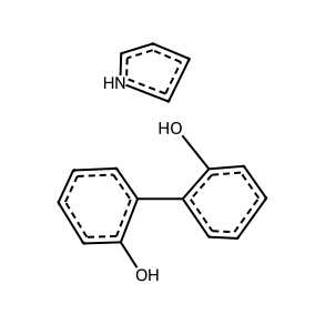 Oc1ccccc1-c1ccccc1O.c1cc[nH]c1